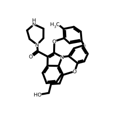 Cc1ccc(F)cc1Oc1c(C(=O)N2CCNCC2)c2ccccc2n1-c1ccccc1OCCCCO